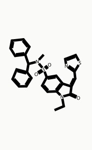 CCN1C(=O)/C(=C/c2nccs2)c2cc(S(=O)(=O)N(C)C(c3ccccc3)c3ccccc3)ccc21